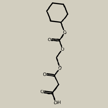 O=C(O)CC(=O)OCOC(=O)OC1CCCCC1